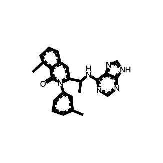 Cc1cccc(-n2c(C(C)Nc3ncnc4[nH]cnc34)cc3cccc(C)c3c2=O)c1